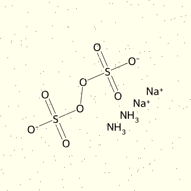 N.N.O=S(=O)([O-])OOS(=O)(=O)[O-].[Na+].[Na+]